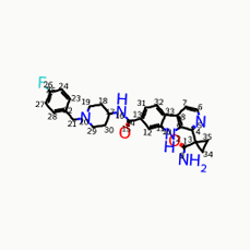 NC(=O)C1(c2nccc3c2[nH]c2cc(C(=O)NC4CCN(Cc5ccc(F)cc5)CC4)ccc23)CC1